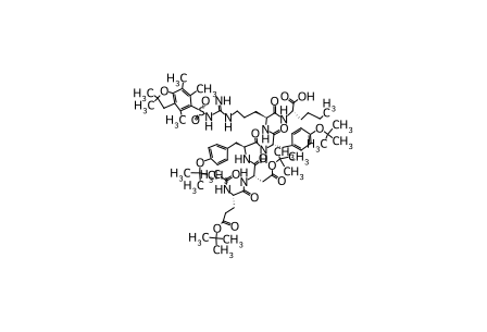 CCCC[C@H](NC(=O)[C@H](CCCNC(=N)NS(=O)(=O)c1c(C)c(C)c2c(c1C)CC(C)(C)O2)NC(=O)[C@H](Cc1ccc(OC(C)(C)C)cc1)NC(=O)[C@H](Cc1ccc(OC(C)(C)C)cc1)NC(=O)[C@H](CC(=O)OC(C)(C)C)NC(=O)[C@H](CCC(=O)OC(C)(C)C)NC(C)=O)C(=O)O